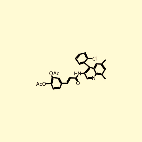 CC(=O)Oc1ccc(C=CC(=O)Nc2cnc3c(C)cc(C)cc3c2-c2ccccc2Cl)cc1OC(C)=O